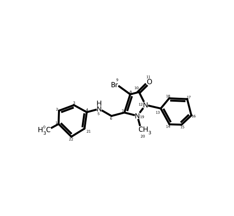 Cc1ccc(NCc2c(Br)c(=O)n(-c3ccccc3)n2C)cc1